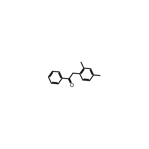 Cc1ccc(CC(=O)c2ccccc2)c(C)c1